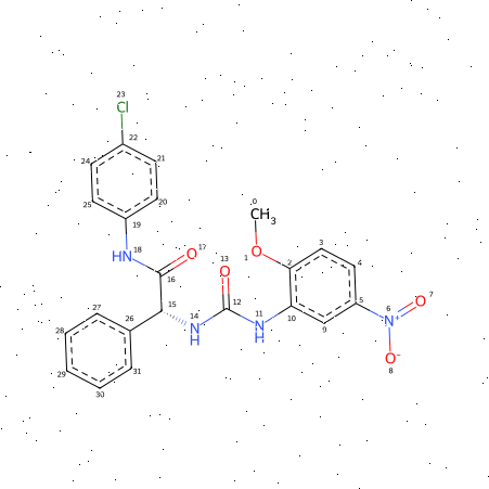 COc1ccc([N+](=O)[O-])cc1NC(=O)N[C@@H](C(=O)Nc1ccc(Cl)cc1)c1ccccc1